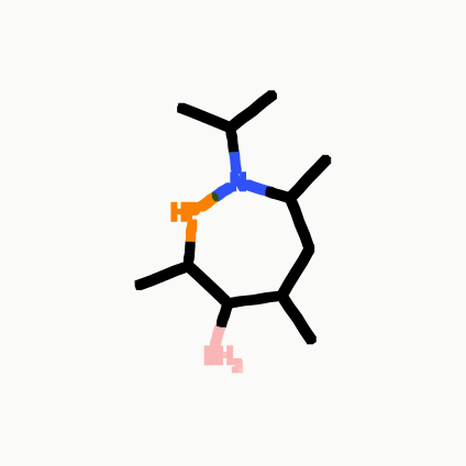 BC1C(C)CC(C)N(C(C)C)PC1C